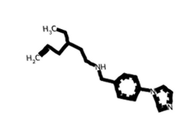 C=CCC(CC)CCNCc1ccc(-n2ccnc2)cc1